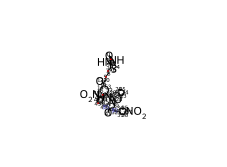 O=C1NC2CS[C@@H](CCCCC(=O)C3CCCC(N[C@H](Cc4ccccc4)C(=O)N4C/C(=C\c5ccc([N+](=O)[O-])cc5)C(=O)/C(=C/c5ccc([N+](=O)[O-])cc5)C4)CC3)C2N1